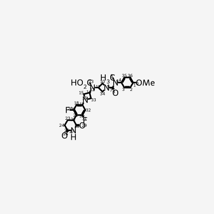 COc1ccc(N(C)C(=O)N2CC(N(C(=O)O)C3CN(c4cc(F)c(C5CCC(=O)NC5=O)c(F)c4)C3)C2)cc1